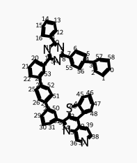 c1ccc(-c2ccc(-c3nc(-c4ccccc4)nc(-c4cccc(-c5ccc(-c6cccc(-c7nc8cnccc8c8c7sc7ccccc78)c6)cc5)c4)n3)cc2)cc1